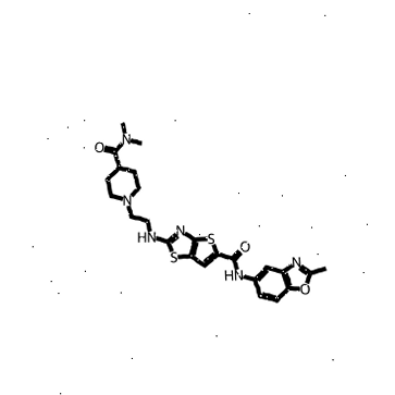 Cc1nc2cc(NC(=O)c3cc4sc(NCCN5CCC(C(=O)N(C)C)CC5)nc4s3)ccc2o1